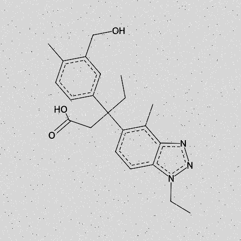 CCn1nnc2c(C)c(C(CC)(CC(=O)O)c3ccc(C)c(CO)c3)ccc21